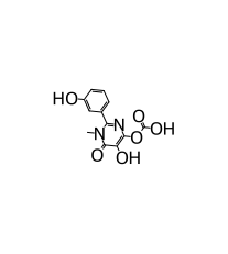 Cn1c(-c2cccc(O)c2)nc(OC(=O)O)c(O)c1=O